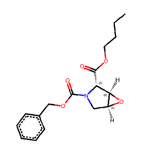 CCCCOC(=O)[C@@H]1[C@H]2O[C@H]2CN1C(=O)OCc1ccccc1